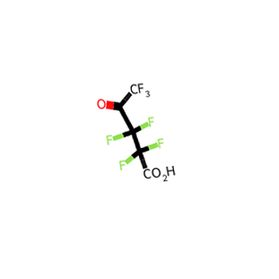 O=C(O)C(F)(F)C(F)(F)C(=O)C(F)(F)F